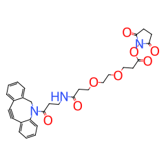 O=C(CCOCCOCCC(=O)ON1C(=O)CCC1=O)NCCC(=O)N1Cc2ccccc2C#Cc2ccccc21